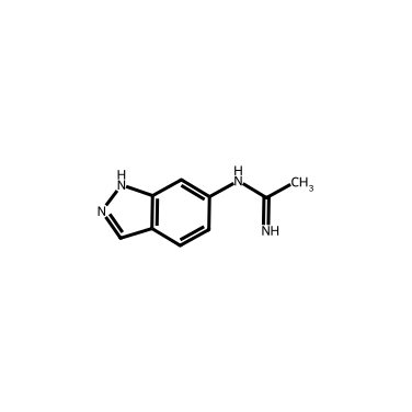 CC(=N)Nc1ccc2cn[nH]c2c1